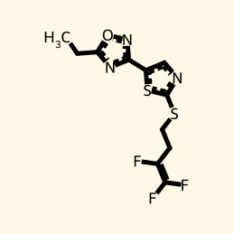 CCc1nc(-c2cnc(SCCC(F)=C(F)F)s2)no1